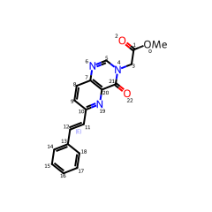 COC(=O)Cn1cnc2ccc(/C=C/c3ccccc3)nc2c1=O